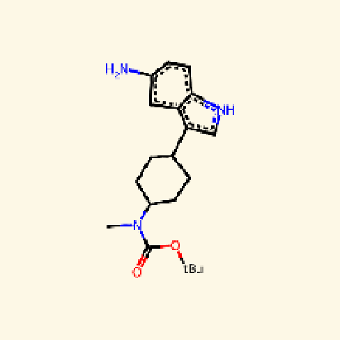 CN(C(=O)OC(C)(C)C)C1CCC(c2c[nH]c3ccc(N)cc23)CC1